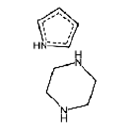 C1CNCCN1.c1cc[nH]c1